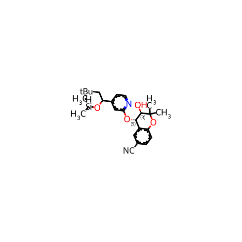 C[SiH](C)OC(CC(C)(C)C)c1ccnc(O[C@H]2c3cc(C#N)ccc3OC(C)(C)[C@@H]2O)c1